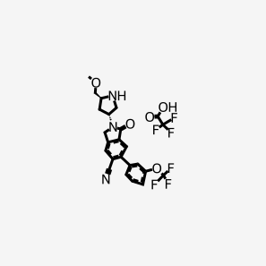 COC[C@@H]1C[C@@H](N2Cc3cc(C#N)c(-c4cccc(OC(F)(F)F)c4)cc3C2=O)CN1.O=C(O)C(F)(F)F